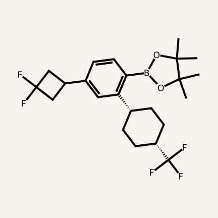 CC1(C)OB(c2ccc(C3CC(F)(F)C3)cc2[C@H]2CC[C@@H](C(F)(F)F)CC2)OC1(C)C